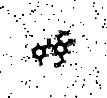 Cc1cccc(Nc2nc(CCl)nc(O)c2C=N)c1